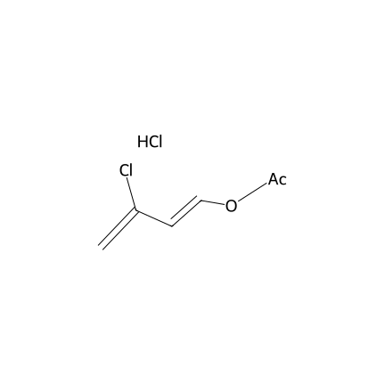 C=C(Cl)C=COC(C)=O.Cl